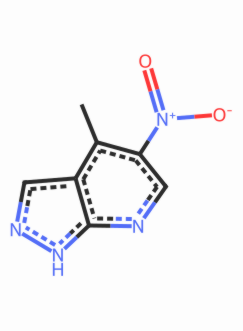 Cc1c([N+](=O)[O-])cnc2[nH]ncc12